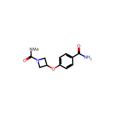 CNC(=O)N1CC(Oc2ccc(C(N)=O)cc2)C1